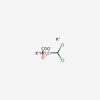 O=C(O)C(Cl)Cl.O=C([O-])[O-].[K+].[K+]